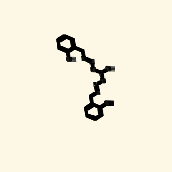 OB(ON=NCc1ccccc1O)ON=NCc1ccccc1O